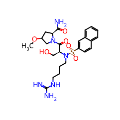 CO[C@H]1C[C@@H](C(N)=O)N(C(=O)[C@H](CO)N(CCCCNC(=N)N)S(=O)(=O)c2ccc3ccccc3c2)C1